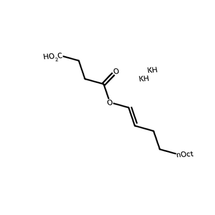 CCCCCCCCCCC=COC(=O)CCC(=O)O.[KH].[KH]